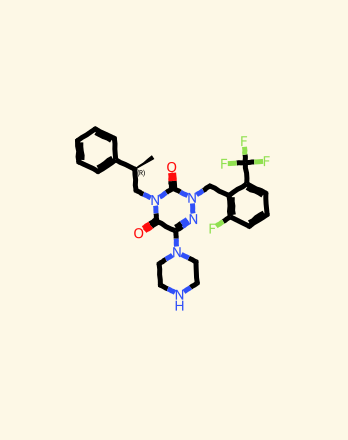 C[C@@H](Cn1c(=O)c(N2CCNCC2)nn(Cc2c(F)cccc2C(F)(F)F)c1=O)c1ccccc1